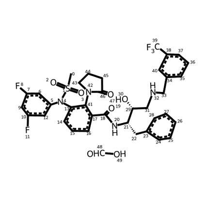 CS(=O)(=O)N(c1cc(F)cc(F)c1)c1cccc(C(=O)N[C@@H](Cc2ccccc2)[C@H](O)CNCc2cccc(C(F)(F)F)c2)c1N1CCCC1=O.O=CO